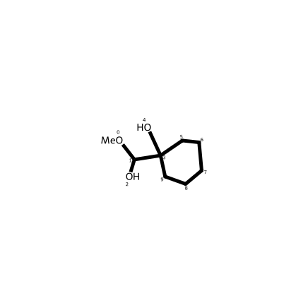 COC(O)C1(O)CCCCC1